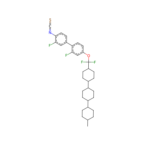 CC1CCC(C2CCC(C3CCC(C(F)(F)Oc4ccc(-c5ccc(N=C=S)c(F)c5)c(F)c4)CC3)CC2)CC1